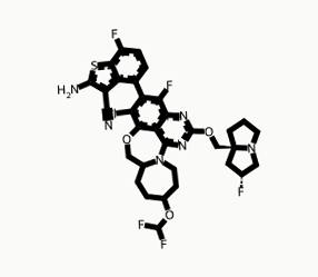 N#Cc1c(N)sc2c(F)ccc(-c3c(Cl)c4c5c(nc(OC[C@@]67CCCN6C[C@H](F)C7)nc5c3F)N3CCC(OC(F)F)CCC3CO4)c12